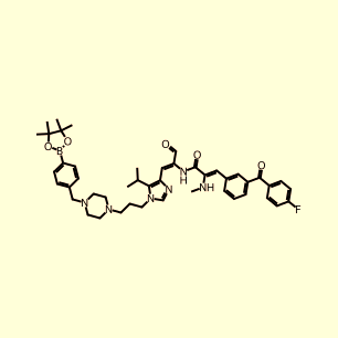 CN/C(=C\c1cccc(C(=O)c2ccc(F)cc2)c1)C(=O)N/C(C=O)=C\c1ncn(CCCN2CCN(Cc3ccc(B4OC(C)(C)C(C)(C)O4)cc3)CC2)c1C(C)C